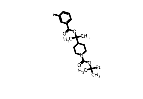 CCC(C)(C)OC(=O)N1CCC(C(C)(C)OC(=O)c2cccc(I)c2)CC1